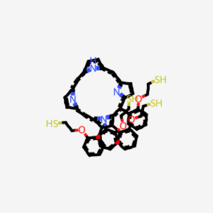 SCCOc1ccccc1-c1c(-c2ccccc2OCCS)c2c(-c3ccccc3OCCS)c3nc(cc4ccc(cc5nc(cc1n2-c1ccccc1OCCS)C=C5)[nH]4)C=C3